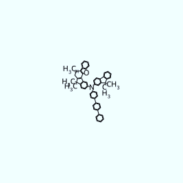 C[C@@H]1CC2=C(c3cc(N(c4ccc(-c5ccc(-c6ccccc6)cc5)cc4)c4ccc5c(c4)C(C)(C)c4ccccc4-5)ccc3C2(C)C)c2oc3ccccc3c21